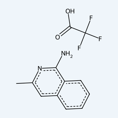 Cc1cc2ccccc2c(N)n1.O=C(O)C(F)(F)F